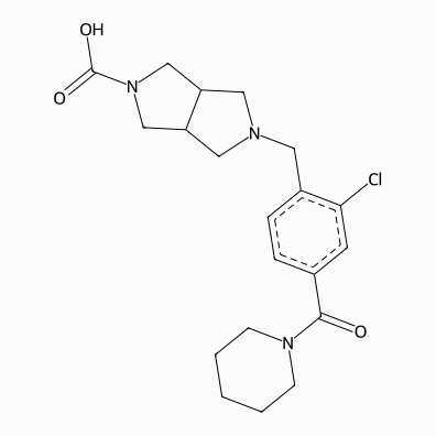 O=C(O)N1CC2CN(Cc3ccc(C(=O)N4CCCCC4)cc3Cl)CC2C1